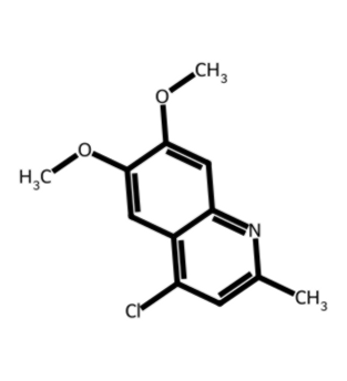 COc1cc2nc(C)cc(Cl)c2cc1OC